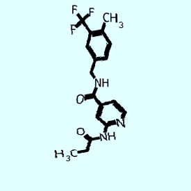 CCC(=O)Nc1cc(C(=O)NCc2ccc(C)c(C(F)(F)F)c2)ccn1